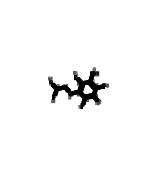 Oc1c(F)c(F)c(F)c(OCC(F)F)c1F